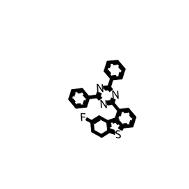 FC1=Cc2c(sc3cccc(-c4nc(-c5ccccc5)nc(-c5ccccc5)n4)c23)CC1